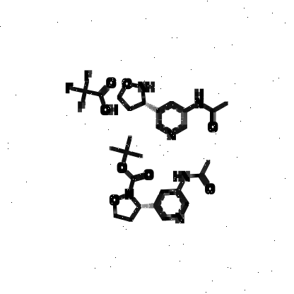 CC(=O)Nc1cncc([C@@H]2CCON2)c1.CC(=O)Nc1cncc([C@@H]2CCON2C(=O)OC(C)(C)C)c1.O=C(O)C(F)(F)F